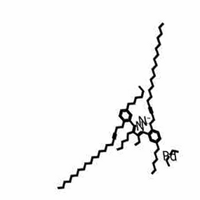 CCCCCCCCCCCCCCCCC#CCCc1ccc(CCCCCC)cc1C1=C(CC)C(CCCCC)=C(c2cc(CCCCCC)ccc2CCC#CCCCCCCCCCCCCCCCC)[N+]1=[N-].C[CH2][Pd][CH2]C